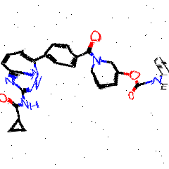 CCN(CC)C(=O)OC1CCCN(C(=O)c2ccc(-c3cccc4nc(NC(=O)C5CC5)nn34)cc2)C1